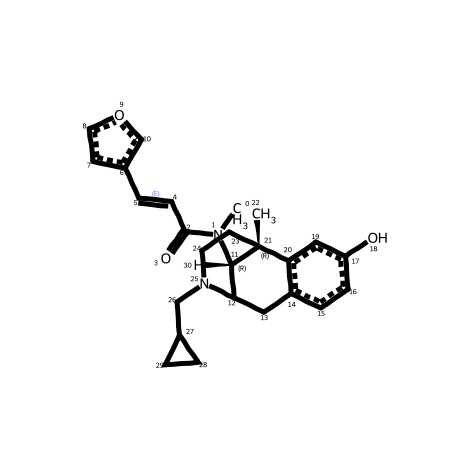 CN(C(=O)/C=C/c1ccoc1)[C@H]1C2Cc3ccc(O)cc3[C@@]1(C)CCN2CC1CC1